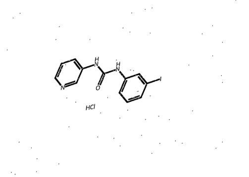 Cl.O=C(Nc1cccnc1)Nc1cccc(I)c1